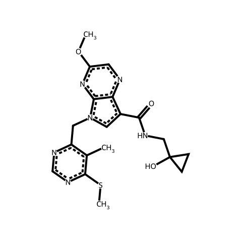 COc1cnc2c(C(=O)NCC3(O)CC3)cn(Cc3ncnc(SC)c3C)c2n1